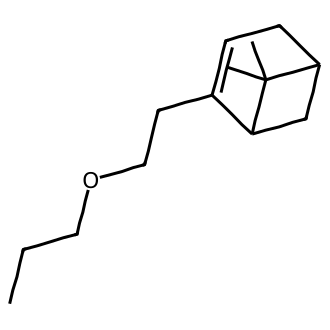 CCCOCCC1=CCC2CC1C2(C)C